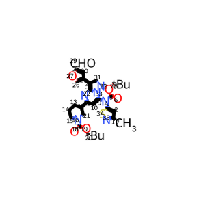 Cc1cc(N(C(=O)OC(C)(C)C)c2cc(C3CCCN(C(=O)OC(C)(C)C)C3)nc3c(-c4coc(C=O)c4)cnn23)sn1